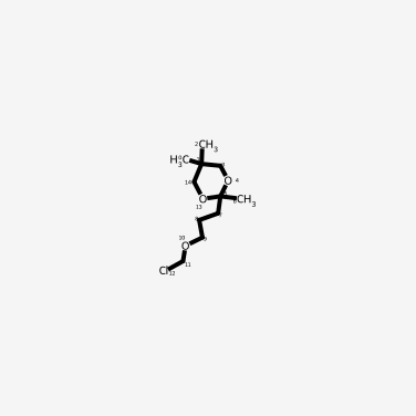 CC1(C)COC(C)(CCCOCCl)OC1